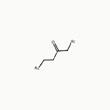 CC(=O)CCC(=O)CC(C)=O